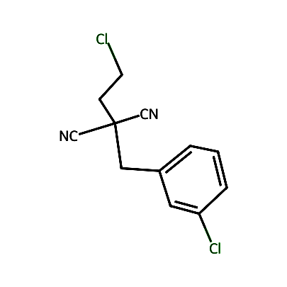 N#CC(C#N)(CCCl)Cc1cccc(Cl)c1